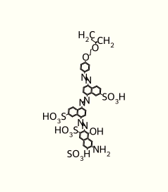 C=CC(=C)OCCOc1ccc(/N=N/c2ccc(/N=N/c3ccc(/N=N/c4c(S(=O)(=O)O)cc5cc(S(=O)(=O)O)c(N)cc5c4O)c4cc(S(=O)(=O)O)ccc34)c3cc(S(=O)(=O)O)ccc23)cc1